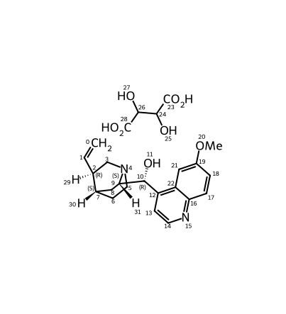 C=C[C@H]1CN2CC[C@H]1C[C@H]2[C@H](O)c1ccnc2ccc(OC)cc12.O=C(O)C(O)C(O)C(=O)O